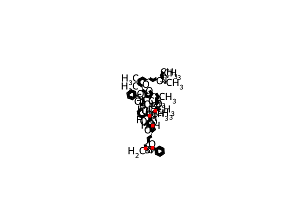 C=C(Br)C[C@H](CC[C@@]12C[C@H]3O[C@H]4[C@@H](O1)[C@H]1O[C@@H](CC(O)C([C@H]5C(C[C@H]6O[C@@H](CCCO[Si](CC)(CC)CC)C[C@@H](C)C6=C)O[C@H](C[C@H](C)CO[Si](C)(C)C(C)(C)C)[C@@H]5C)S(=O)(=O)c5ccccc5)CC[C@@H]1O[C@H]4[C@H]3O2)OC(=O)c1ccccc1